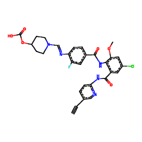 C#Cc1ccc(NC(=O)c2cc(Cl)cc(OC)c2NC(=O)c2ccc(N=CN3CCC(OC(=O)O)CC3)c(F)c2)nc1